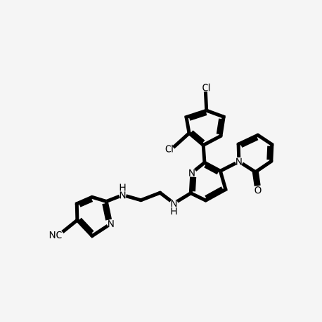 N#Cc1ccc(NCCNc2ccc(-n3ccccc3=O)c(-c3ccc(Cl)cc3Cl)n2)nc1